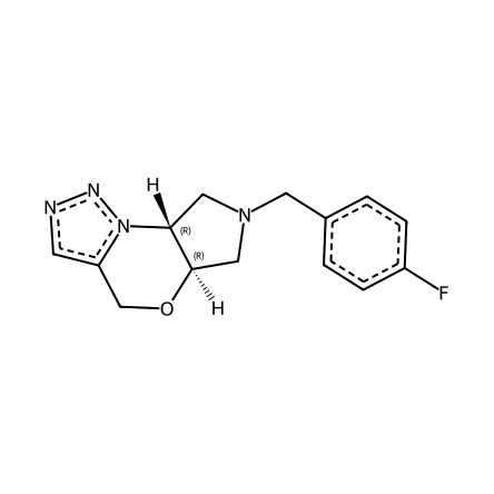 Fc1ccc(CN2C[C@@H]3[C@@H](C2)OCc2cnnn23)cc1